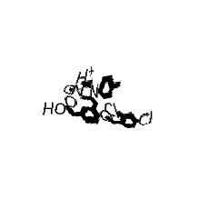 Cc1ccc(N2CC[NH+]([O-])CC2Cc2cc(CC(=O)O)ccc2OCc2ccc(Cl)cc2Cl)cc1